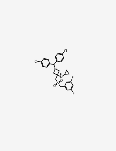 O=S(=O)(Cc1cc(F)cc(F)c1)CC1(NC2CC2)CN(C(c2ccc(Cl)cc2)c2ccc(Cl)cc2)C1